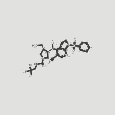 CC[C@@H]1CN(C(=O)NCC(F)(F)F)C[C@@H]1N(C)c1c(C#N)cnc2c1ccn2S(=O)(=O)c1ccccc1